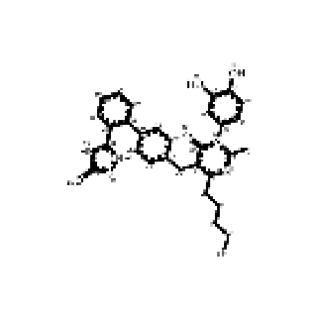 Cc1nc(CCCCF)c(Cc2ccc(-c3ccccc3-c3noc(=O)[nH]3)cc2)c(=O)n1-c1ccc(O)c(O)c1